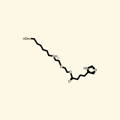 CCCCCCCCCCCCCCCC[SiH2]CCOCCOC(=O)CCCc1cnc[nH]1